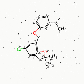 CCc1[c]c(OCc2cc(Cl)cc3c2OC(C)(C)C3)ccc1